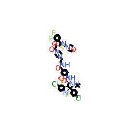 COc1cc(C(=O)NCCN2CCN(C(=O)COc3c(-c4csc(N5CCOCC5)n4)ccc(F)c3F)CC2)ccc1NC(=O)[C@@H]1N[C@@H](CC(C)(C)C)[C@](C#N)(c2ccc(Cl)cc2F)[C@H]1c1cccc(Cl)c1F